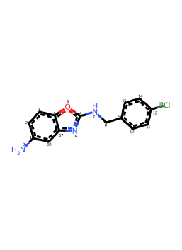 Nc1ccc2oc(NCc3ccc(Cl)cc3)nc2c1